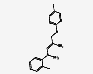 Cc1cnc(OC/C(N)=C/N(N)c2ccccc2C)nc1